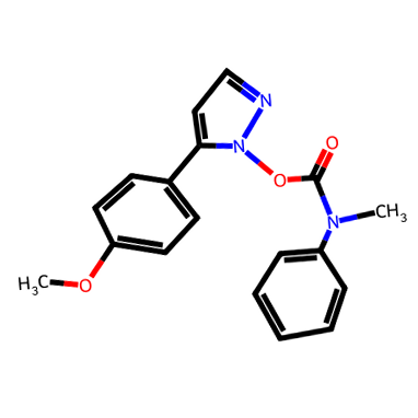 COc1ccc(-c2ccnn2OC(=O)N(C)c2ccccc2)cc1